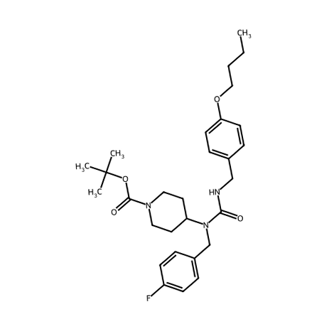 CCCCOc1ccc(CNC(=O)N(Cc2ccc(F)cc2)C2CCN(C(=O)OC(C)(C)C)CC2)cc1